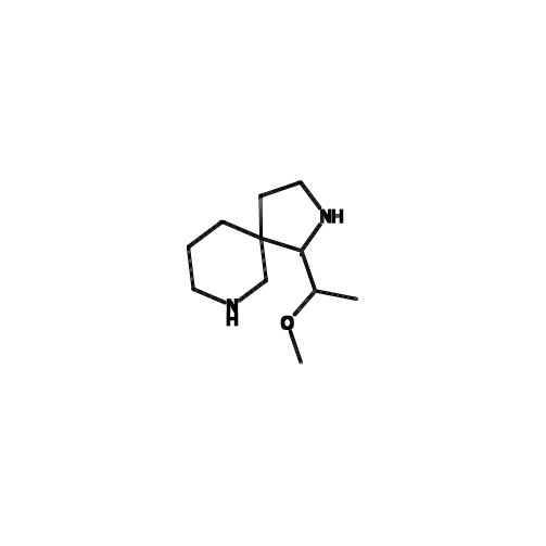 COC(C)[C]1NCCC12CCCNC2